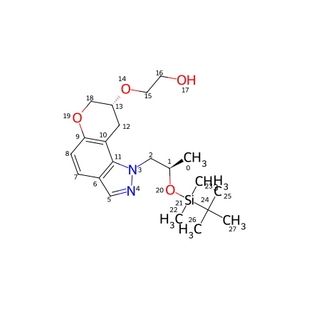 C[C@H](Cn1ncc2ccc3c(c21)C[C@@H](OCCO)CO3)O[Si](C)(C)C(C)(C)C